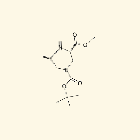 COC(=O)[C@H]1CN(C(=O)OC(C)(C)C)C[C@@H](C)N1